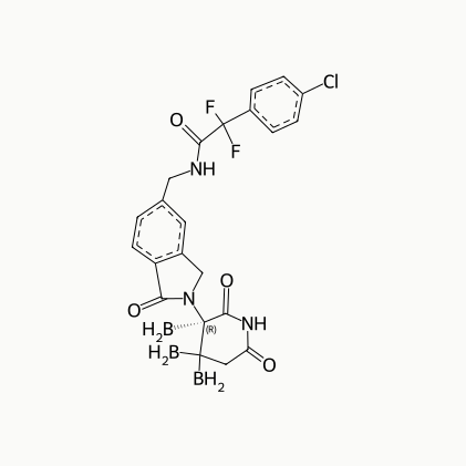 BC1(B)CC(=O)NC(=O)[C@]1(B)N1Cc2cc(CNC(=O)C(F)(F)c3ccc(Cl)cc3)ccc2C1=O